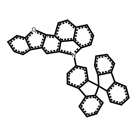 c1ccc2c(c1)-c1ccccc1C21c2ccccc2-c2ccc(-n3c4cccc5ccc6c7oc8ccccc8c7cc3c6c54)cc21